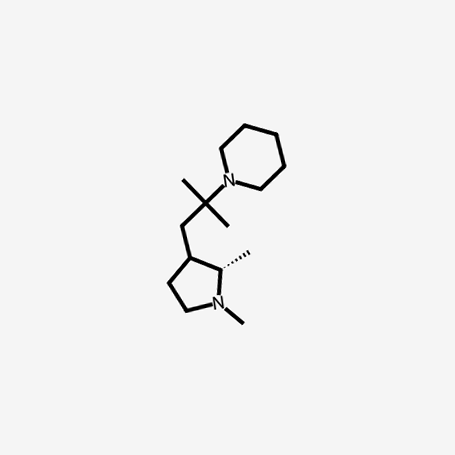 C[C@H]1C(CC(C)(C)N2CCCCC2)CCN1C